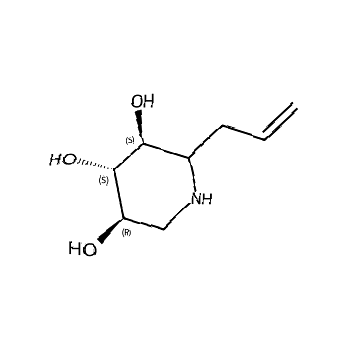 C=CCC1NC[C@@H](O)[C@H](O)[C@H]1O